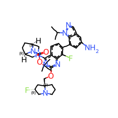 CC(C)n1ncc2cc(N)cc(-c3ccc4c(N5C[C@H]6CC[C@@H](C5)N6C(=O)OC(C)(C)C)nc(OC[C@@]56CCCN5C[C@H](F)C6)nc4c3F)c21